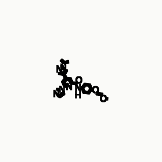 COCCOC1CCC(NC(=O)c2cc(-c3cnn(C(C)C)c3)cc(-n3ccnc3)n2)CC1